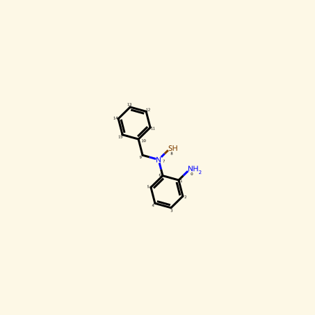 Nc1ccccc1N(S)Cc1ccccc1